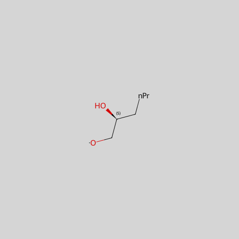 CCCC[C@H](O)C[O]